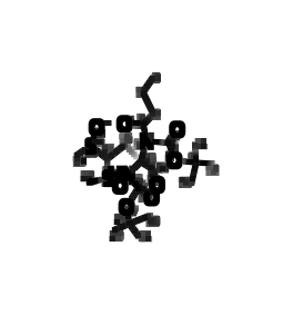 CCCC(=O)N(C(=O)OC(C)(C)C)[C@]([C]=O)(CC([S+](C)[O-])[S@+](C)[O-])NC(=O)OC(C)(C)C